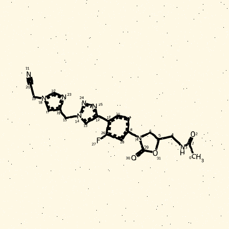 CC(=O)NCC1CN(c2ccc(-c3cn(Cc4cn(CC#N)cn4)nn3)c(F)c2)C(=O)O1